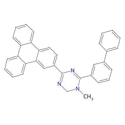 CN1CN=C(c2ccc3c4ccccc4c4ccccc4c3c2)N=C1c1cccc(-c2ccccc2)c1